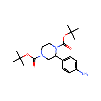 CC(C)(C)OC(=O)N1CCN(C(=O)OC(C)(C)C)C(c2ccc(N)cc2)C1